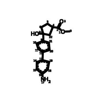 COC(=O)C1CCC(O)(c2ccc(-c3ccc(N)cc3)cc2)C1